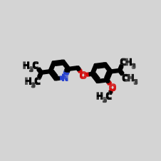 COc1cc(OCc2ccc(C(C)C)cn2)ccc1C(C)C